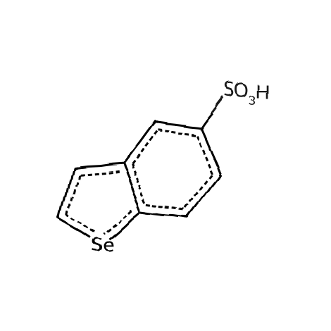 O=S(=O)(O)c1ccc2[se]ccc2c1